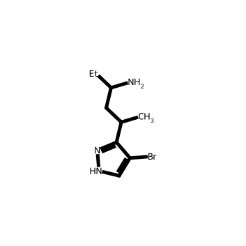 CCC(N)CC(C)c1n[nH]cc1Br